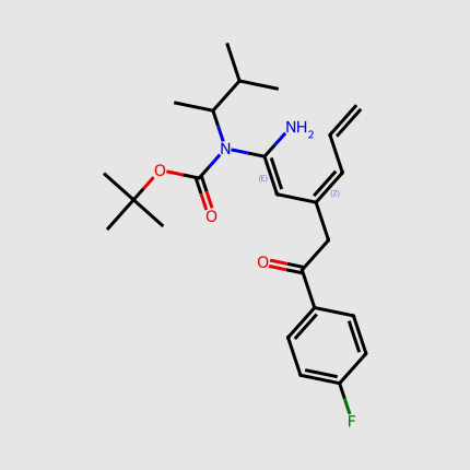 C=C/C=C(\C=C(/N)N(C(=O)OC(C)(C)C)C(C)C(C)C)CC(=O)c1ccc(F)cc1